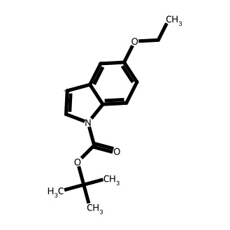 CCOc1ccc2c([c]cn2C(=O)OC(C)(C)C)c1